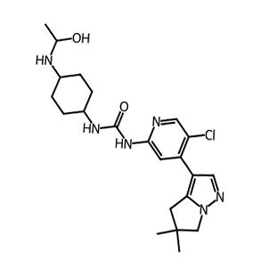 CC(O)NC1CCC(NC(=O)Nc2cc(-c3cnn4c3CC(C)(C)C4)c(Cl)cn2)CC1